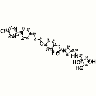 O=C(Cc1ccc(OCCCC2CCN(c3ncc(Cl)cn3)CC2)cc1F)N1CC(CNCC(O)(CO)CO)C1